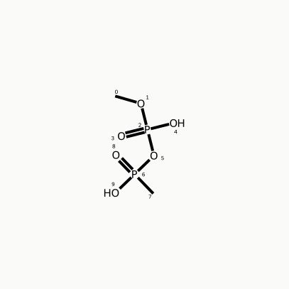 COP(=O)(O)OP(C)(=O)O